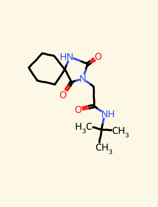 CC(C)(C)NC(=O)CN1C(=O)NC2(CCCCC2)C1=O